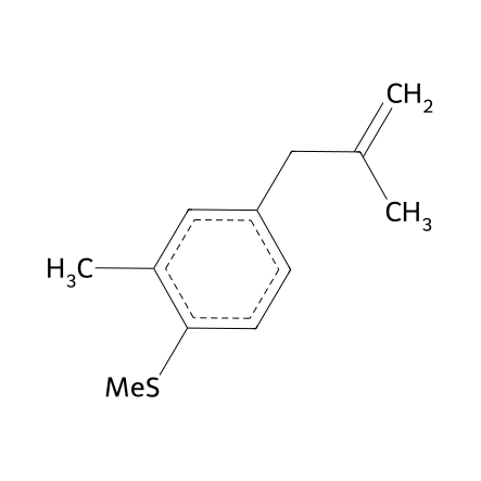 C=C(C)Cc1ccc(SC)c(C)c1